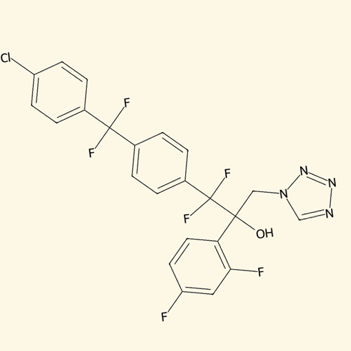 OC(Cn1cnnn1)(c1ccc(F)cc1F)C(F)(F)c1ccc(C(F)(F)c2ccc(Cl)cc2)cc1